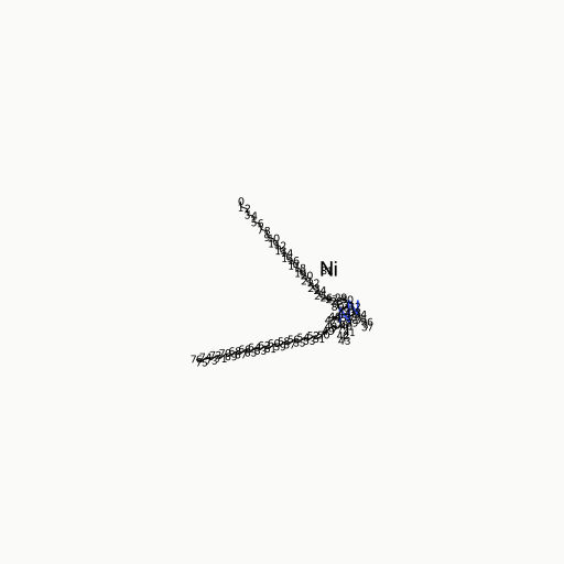 CCCCCCCCCCCCCCCCCCCCCCCCCCC#Cc1ccc(N=C(CCCC)C(CCCCC)=Nc2ccc(C#CCCCCCCCCCCCCCCCCCCCCCCCCCC)cc2)cc1.[Ni]